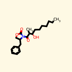 CCCCCCC[C@@H](O)C(C)C(=O)N1C(=O)OCC1Cc1ccccc1